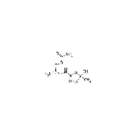 C[C@@H](CNC(=O)OC(C)(C)C)OOC(N)=O